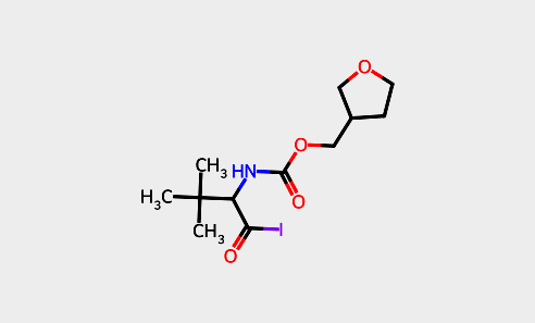 CC(C)(C)C(NC(=O)OCC1CCOC1)C(=O)I